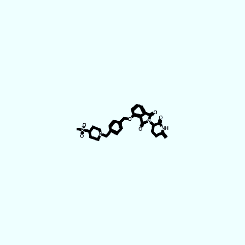 C=C1CCC(N2C(=O)c3cccc(OCc4ccc(CN5CCC(S(C)(=O)=O)CC5)cc4)c3C2=O)C(=O)N1